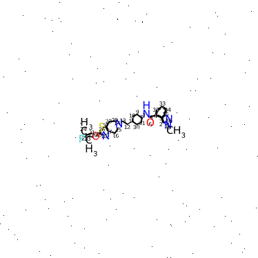 Cn1cc2c(C(=O)N[C@H]3CC[C@H](CCN4CCc5nc(OCC(C)(C)F)sc5CC4)CC3)cccc2n1